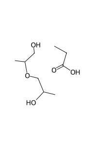 CC(O)COC(C)CO.CCC(=O)O